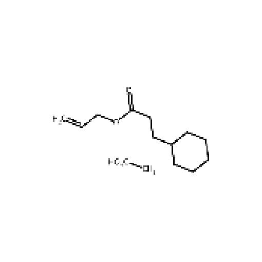 C=CCOC(=O)CCC1CCCCC1.CC(=O)O